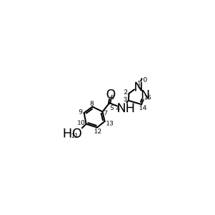 CN1CC(NC(=O)c2ccc(O)cc2)C=N1